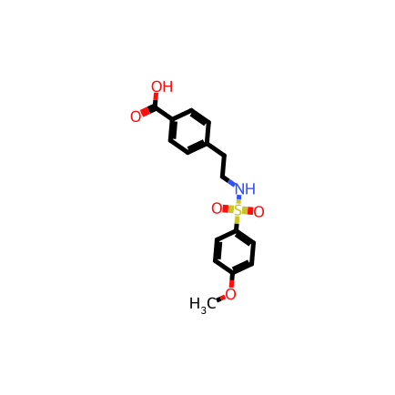 COc1ccc(S(=O)(=O)NCCc2ccc(C(=O)O)cc2)cc1